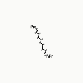 CCCSCCC[CH]CCCCSC(C)C